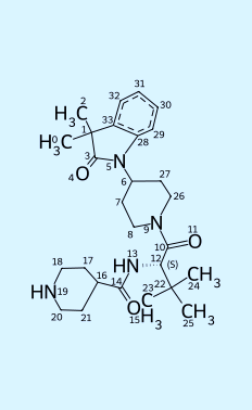 CC1(C)C(=O)N(C2CCN(C(=O)[C@@H](NC(=O)C3CCNCC3)C(C)(C)C)CC2)c2ccccc21